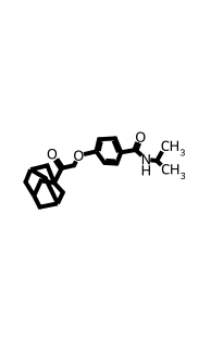 CC(C)NC(=O)c1ccc(OCC(=O)C23CC4CC(CC(C4)C2)C3)cc1